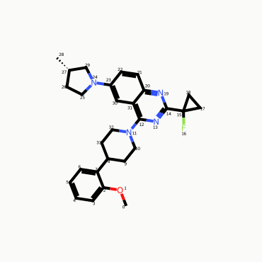 COc1ccccc1C1CCN(c2nc(C3(F)CC3)nc3ccc(N4CC[C@H](C)C4)cc23)CC1